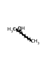 CCCCCCCCCC[C@@H](CO)CCC